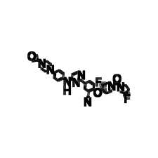 N#Cc1cc(-c2nccc(Nc3ccc(N4CCN(C5COC5)CC4)cc3)n2)ccc1O[C@H]1CCN(C(=O)N2CC[C@@H](F)C2)C[C@H]1F